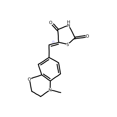 CN1CCOc2cc(/C=C3\SC(=O)NC3=O)ccc21